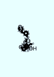 C=C[C@]1(C)C[C@@H](OC(=O)CSc2cccc(CN3CCOCC3)c2)[C@]2(C)C(C)CCC3(CCC(=O)C32)[C@@H](C)[C@@H]1O